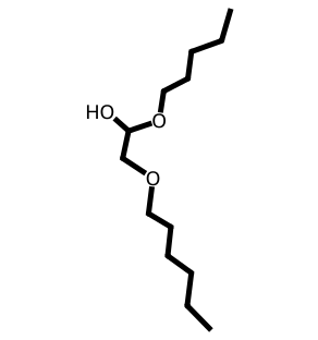 CCCCCCOCC(O)OCCCCC